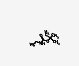 CC(C)(C)OC(=O)NCS